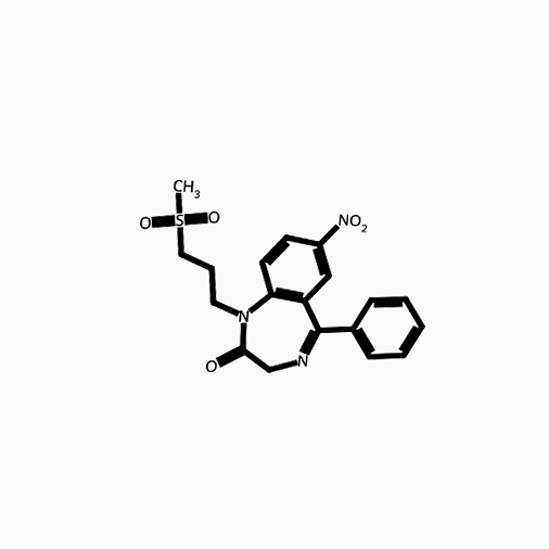 CS(=O)(=O)CCCN1C(=O)CN=C(c2ccccc2)c2cc([N+](=O)[O-])ccc21